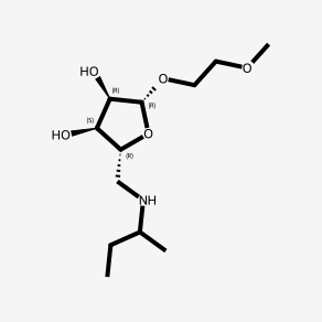 CCC(C)NC[C@H]1O[C@@H](OCCOC)[C@H](O)[C@@H]1O